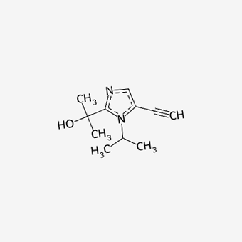 C#Cc1cnc(C(C)(C)O)n1C(C)C